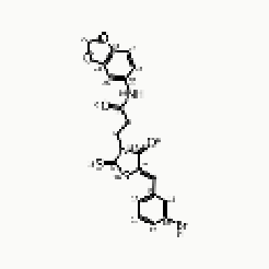 O=C(CCN1C(=O)/C(=C/c2cccc(Br)c2)SC1=S)Nc1ccc2c(c1)OCO2